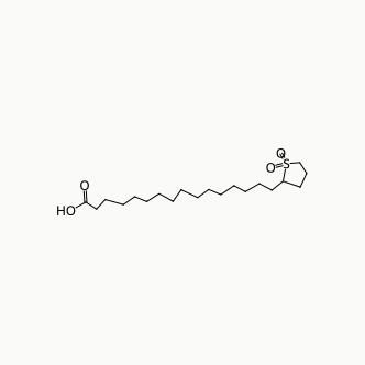 O=C(O)CCCCCCCCCCCCCCCC1CCCS1(=O)=O